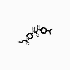 CCCC(=O)N1CCC(NC(=O)Nc2ccc(C(C)C)cc2)CC1